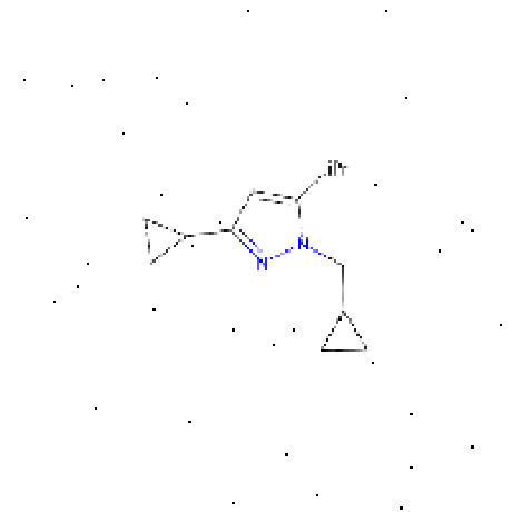 CC(C)c1cc(C2CC2)nn1CC1CC1